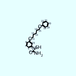 NC(=O)N(S)c1cccc(OCCCCCOc2ccccc2)c1